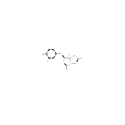 C[C@@]12CC(C(F)(F)F)=NN1C(N)=NC2=Nc1ccc(C#N)c(C(F)(F)F)c1.O